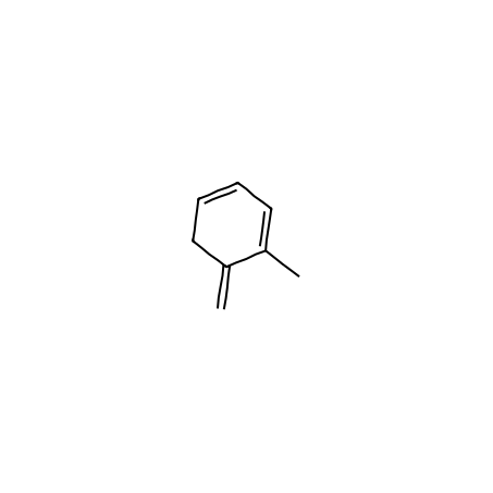 C=C1CC=CC=C1C